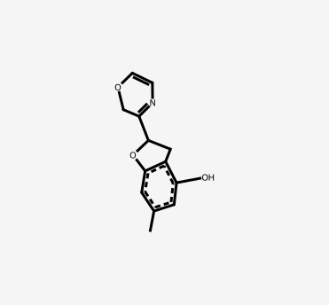 Cc1cc(O)c2c(c1)OC(C1=NC=COC1)C2